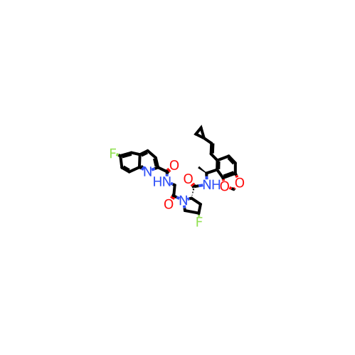 C[C@H](NC(=O)[C@@H]1C[C@@H](F)CN1C(=O)CNC(=O)c1ccc2cc(F)ccc2n1)c1c(/C=C/C2CC2)ccc2c1OCO2